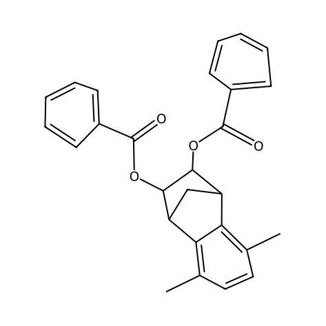 Cc1ccc(C)c2c1C1CC2C(OC(=O)c2ccccc2)C1OC(=O)c1ccccc1